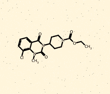 CCOC(=O)N1CCC(n2c(=O)c3cccc(Cl)c3n(C)c2=O)CC1